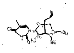 C=CC[C@]1(COCCCC)O[C@@H](n2cc(C)c(=O)[nH]c2=O)[C@@H](O)C1OCCCC